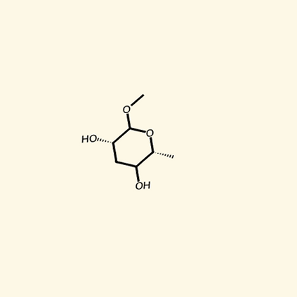 COC1O[C@H](C)C(O)C[C@@H]1O